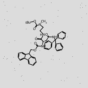 CN(CCNC(=O)[C@@H](CC(=O)NC(c1ccccc1)(c1ccccc1)c1ccccc1)NC(=O)OCC1c2ccccc2-c2ccccc21)C(=O)OC(C)(C)C